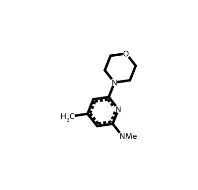 CNc1cc(C)cc(N2CCOCC2)n1